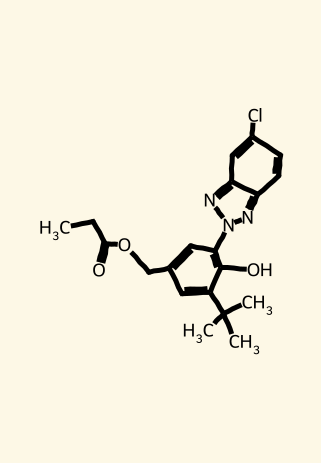 CCC(=O)OCc1cc(-n2nc3ccc(Cl)cc3n2)c(O)c(C(C)(C)C)c1